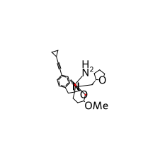 COC1CCC2(CC1)Cc1ccc(C#CC3CC3)cc1[C@]21N=C(N)N(C[C@H]2CCCO2)C1=O